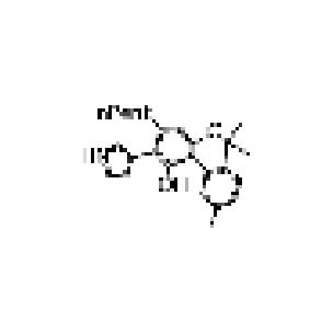 CCCCCc1cc2c(c(O)c1-c1cc[nH]c1)-c1cc(C)ccc1C(C)(C)O2